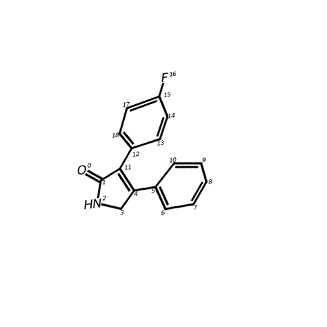 O=C1NCC(c2ccccc2)=C1c1ccc(F)cc1